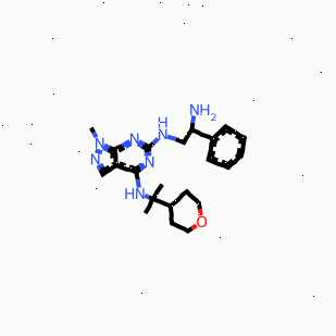 Cn1ncc2c(NC(C)(C)C3CCOCC3)nc(NCC(N)c3ccccc3)nc21